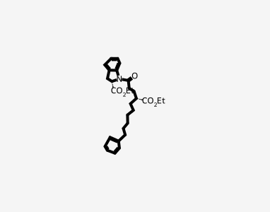 CCOC(=O)[C@H](CCCCCCc1ccccc1)CCC(=O)N1c2ccccc2C[C@H]1C(=O)OCC